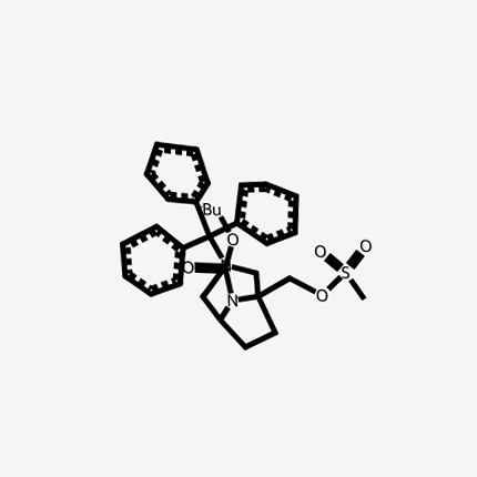 CC(C)(C)OC(=O)N1C2CCC1(COS(C)(=O)=O)CN(C(c1ccccc1)(c1ccccc1)c1ccccc1)C2